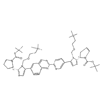 CC(C)(C)OC(=O)N1CCC[C@H]1c1ncc(-c2ccc(-c3ncc4cc(-c5cnc([C@@H]6CCCN6C(=O)OC(C)(C)C)n5COCC[Si](C)(C)C)ccc4n3)nc2)n1COCC[Si](C)(C)C